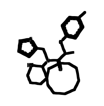 Cc1ccc(OC(C)C(=O)N(Cc2cccs2)C2NCCCC23CCCCCCCCC3)cc1